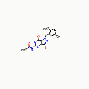 COC(=O)Nc1nc(O)c2c(n1)c(Br)nn2Cc1cc(C#N)ccc1OC